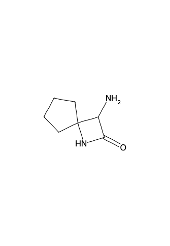 NC1C(=O)NC12CCCC2